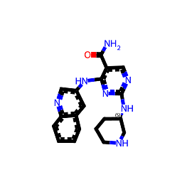 NC(=O)c1cnc(N[C@H]2CCCNC2)nc1Nc1cnc2ccccc2c1